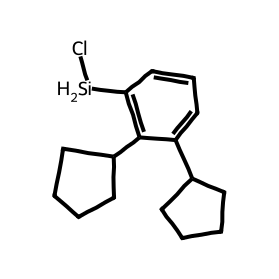 Cl[SiH2]c1cccc(C2CCCC2)c1C1CCCC1